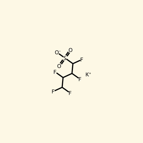 O=S(=O)([O-])C(F)C(F)C(F)C(F)F.[K+]